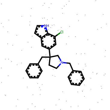 Clc1cc(C2(Cc3ccccc3)CCN(Cc3ccccc3)C2)cc2cc[nH]c12